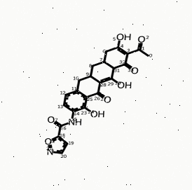 CC(=O)C1=C(O)CC2CC3Cc4ccc(NC(=O)c5ccno5)c(O)c4C(=O)C3=C(O)C2C1=O